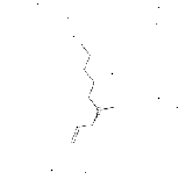 C=CC[SiH](C)CCCCC